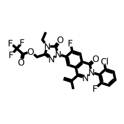 C=C(C)c1nn(-c2c(F)cccc2Cl)c(=O)c2cc(F)c(-n3nc(COC(=O)C(F)(F)F)n(CC)c3=O)cc12